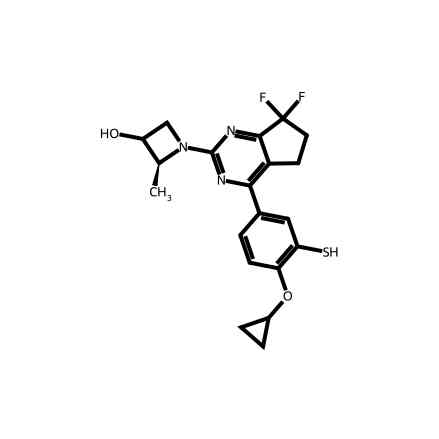 C[C@H]1C(O)CN1c1nc(-c2ccc(OC3CC3)c(S)c2)c2c(n1)C(F)(F)CC2